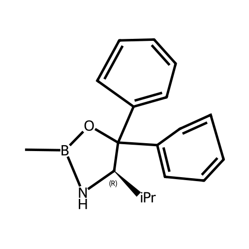 CB1N[C@H](C(C)C)C(c2ccccc2)(c2ccccc2)O1